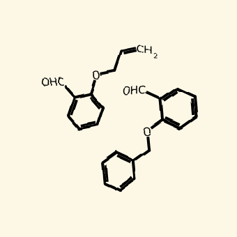 C=CCOc1ccccc1C=O.O=Cc1ccccc1OCc1ccccc1